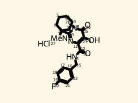 CNC12CCC(CC1)Cn1c2nc(C(=O)NCc2ccc(F)cc2)c(O)c1=O.Cl